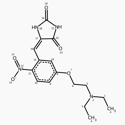 CCN(CC)CCOc1ccc([N+](=O)[O-])c(C=C2NC(=O)NC2=O)c1